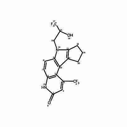 O=c1cc(C(F)(F)F)c2c(ccc3c2c2c(n3CC(O)C(F)(F)F)CCC2)[nH]1